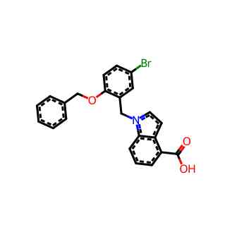 O=C(O)c1cccc2c1ccn2Cc1cc(Br)ccc1OCc1ccccc1